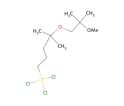 COC(C)(C)COC(C)(C)CCCS(Cl)(Cl)Cl